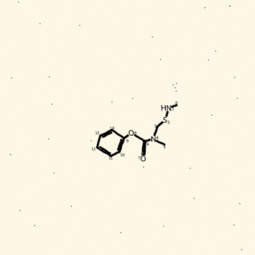 CNSCN(C)C(=O)Oc1ccccc1